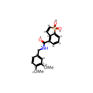 COc1ccc(CNC(=O)c2cccc3c2C=CS3(=O)=O)cc1OC